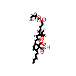 CCCCCC1C=CC(CCCCCCCCC(=O)OOC(C)(C)CC)C(C(=O)OOC(C)(C)CC)C1C(=O)O